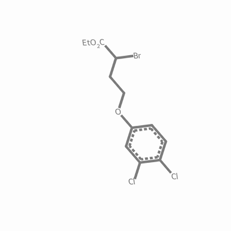 CCOC(=O)C(Br)CCOc1ccc(Cl)c(Cl)c1